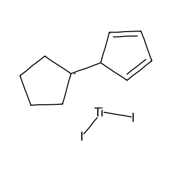 C1=CC([C]2CCCC2)C=C1.[I][Ti][I]